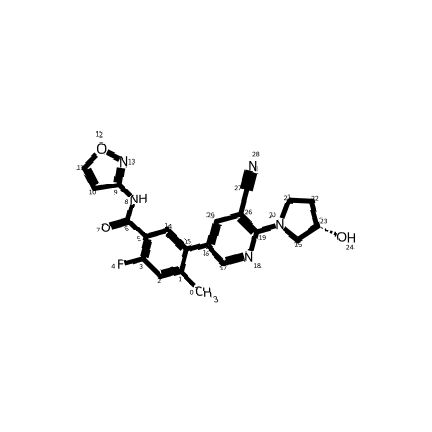 Cc1cc(F)c(C(=O)Nc2ccon2)cc1-c1cnc(N2CC[C@H](O)C2)c(C#N)c1